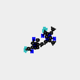 Cc1cc(C)cc(-c2ccc3c(c2)c2ccccc2n3-c2cc(C#N)ccc2-c2cc(-c3ccc(C(F)(F)F)cc3C#N)ccc2-n2c3ccc(Cc4ccc(-c5ccc6c(c5)c5ccccc5n6-c5cc(C#N)ccc5-c5cc(-c6ccc(C(F)(F)F)cc6C#N)ccc5-n5c6ccccc6c6cc(-c7ccccc7)ccc65)c(C)c4)cc3c3cc(-c4cc(C)cc(C)c4)ccc32)c1